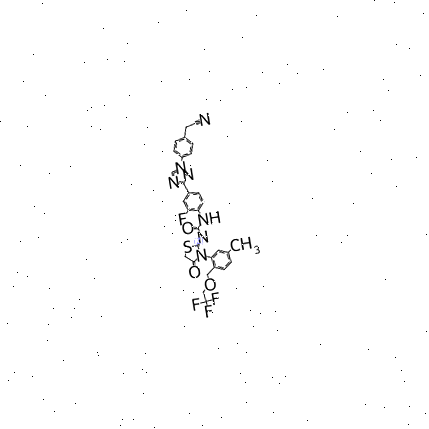 Cc1ccc(COCC(F)(F)F)c(N2C(=O)CS/C2=N\C(=O)Nc2ccc(-c3ncn(-c4ccc(CC#N)cc4)n3)cc2F)c1